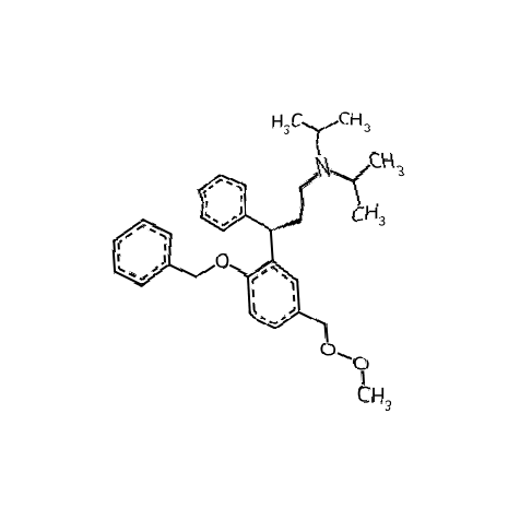 COOCc1ccc(OCc2ccccc2)c([C@H](CCN(C(C)C)C(C)C)c2ccccc2)c1